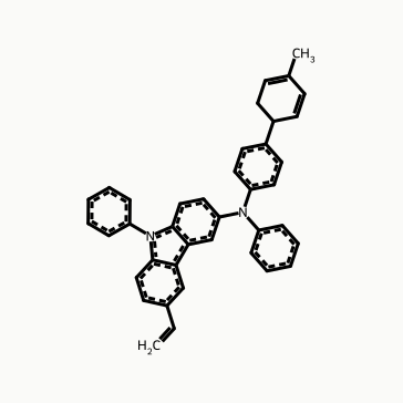 C=Cc1ccc2c(c1)c1cc(N(c3ccccc3)c3ccc(C4C=CC(C)=CC4)cc3)ccc1n2-c1ccccc1